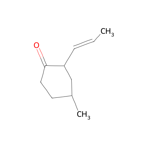 CC=CC1CC(C)CCC1=O